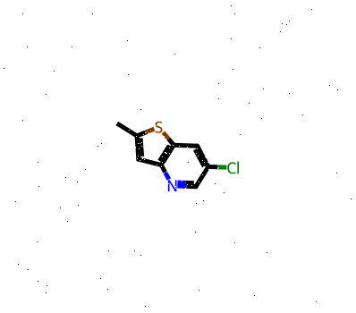 Cc1cc2ncc(Cl)cc2s1